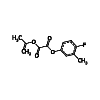 C=C(C)OC(=O)C(=O)Oc1ccc(F)c(C)c1